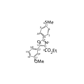 CCOC(=O)c1nc(-c2ccc(SC)cc2)oc1-c1cccc(OC)c1